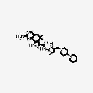 CC1(C)Cc2cnc(N)nc2-c2[nH]nc(C(=O)NC3NC(CN4CCC(N5CCCCC5)CC4)=CS3)c21